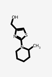 CC1CCCCN1c1nc(CO)cs1